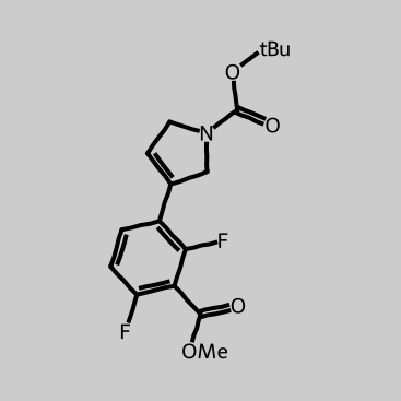 COC(=O)c1c(F)ccc(C2=CCN(C(=O)OC(C)(C)C)C2)c1F